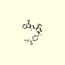 Cc1cnc(NC2CCN([S+](C)[O-])CC2)nc1-c1cc2c(s1)C1CCCN1C2=O